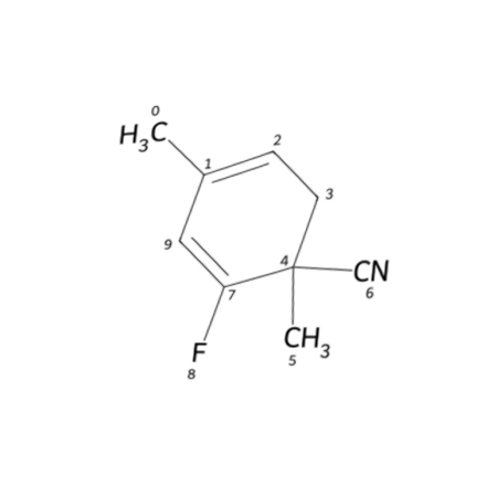 CC1=CCC(C)(C#N)C(F)=C1